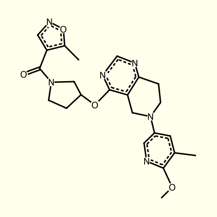 COc1ncc(N2CCc3ncnc(OC4CCN(C(=O)c5cnoc5C)C4)c3C2)cc1C